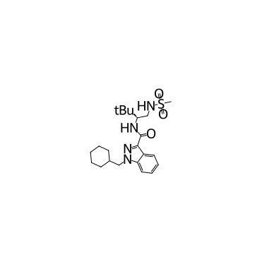 CC(C)(C)[C@@H](CNS(C)(=O)=O)NC(=O)c1nn(CC2CCCCC2)c2ccccc12